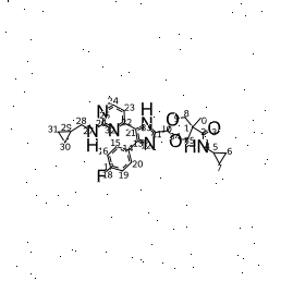 CC1(C(=O)NC2CC2)COC(c2nc(-c3ccc(F)cc3)c(-c3ccnc(NCC4CC4)n3)[nH]2)OC1